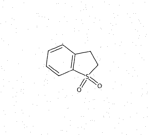 O=S1(=O)CCc2[c]cccc21